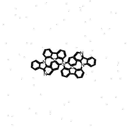 c1ccc([Si](c2ccccc2)(c2cccc3c2sc2c(-n4c5ccccc5c5ncccc54)cccc23)c2cccc3c2sc2c(-n4c5ccccc5c5ncccc54)cccc23)cc1